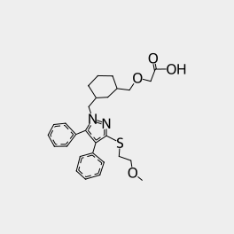 COCCSc1nn(CC2CCCC(COCC(=O)O)C2)c(-c2ccccc2)c1-c1ccccc1